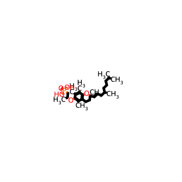 Cc1c(C)c2c(c(C)c1OC(C)CP(=O)(O)O)CCC(C)(/C=C/CC(C)CCCC(C)C)O2